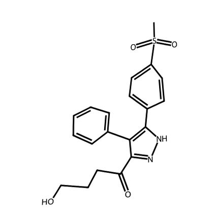 CS(=O)(=O)c1ccc(-c2[nH]nc(C(=O)CCCO)c2-c2ccccc2)cc1